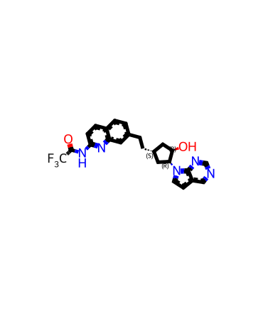 O=C(Nc1ccc2ccc(CC[C@@H]3C[C@@H](O)[C@H](n4ccc5cncnc54)C3)cc2n1)C(F)(F)F